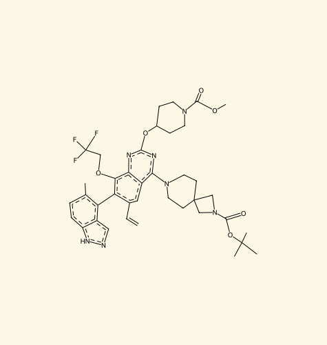 C=Cc1cc2c(N3CCC4(CC3)CN(C(=O)OC(C)(C)C)C4)nc(OC3CCN(C(=O)OC)CC3)nc2c(OCC(F)(F)F)c1-c1c(C)ccc2[nH]ncc12